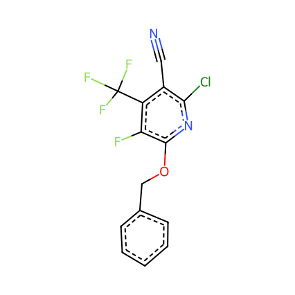 N#Cc1c(Cl)nc(OCc2ccccc2)c(F)c1C(F)(F)F